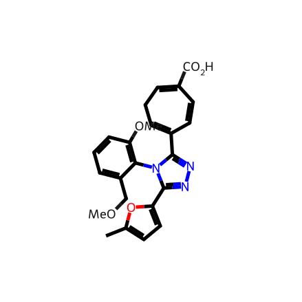 COCc1cccc(OC)c1-n1c(C2=CCC=C(C(=O)O)C=C2)nnc1-c1ccc(C)o1